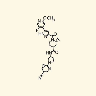 COc1cc(-c2cc(C(=O)N3CC[C@H](C(=O)N[C@H]4CCN(c5ncc(C#N)cn5)C4)CC34CC4)n[nH]2)c(F)cn1